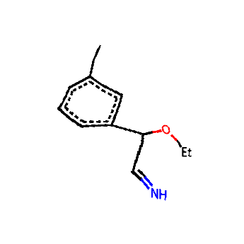 CCOC(C=N)c1cccc(C)c1